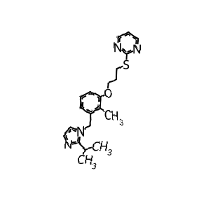 Cc1c(Cn2ccnc2C(C)C)cccc1OCCCSc1ncccn1